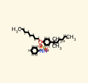 CCCCCCCCOc1ccc(C(C)(C)CCCCC)cc1S(=O)(=O)Nc1[c]cccc1